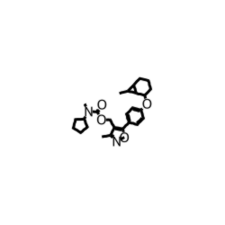 Cc1noc(-c2ccc(OC3CCCC4C(C)C34)cc2)c1COC(=O)N(C)C1CCCC1